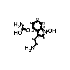 NC(=O)O.NCCc1cn(O)c2ccccc12